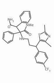 CNC(=O)C(NCCC(c1ccc(C(F)(F)F)cc1)c1sc(C)nc1C)(c1ccccc1)C(C(N)=O)c1ccccc1